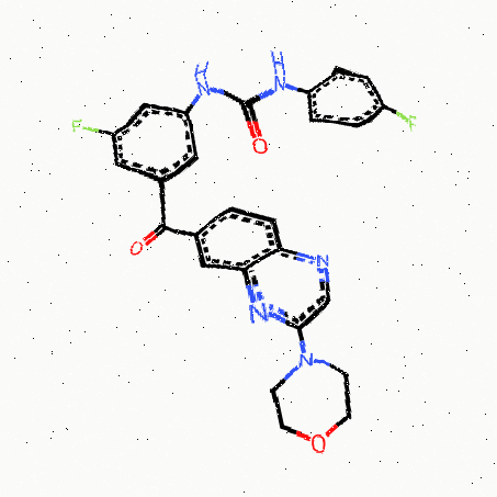 O=C(Nc1ccc(F)cc1)Nc1cc(F)cc(C(=O)c2ccc3ncc(N4CCOCC4)nc3c2)c1